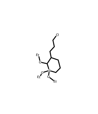 CCOC1C(CCCCl)CCC[Si]1(OCC)OCC